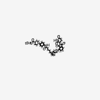 CC(C)(C)OC(=O)N1CCN(c2ccc(NC(=O)CCCCn3cc(CNc4cccc5c4C(=O)N(C4CCC(=O)NC4=O)C5=O)nn3)cc2)CC1